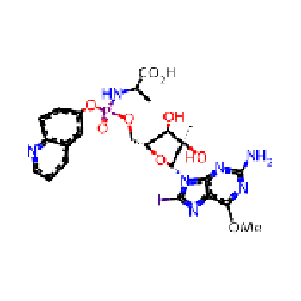 COc1nc(N)nc2c1nc(I)n2[C@@H]1O[C@H](COP(=O)(NC(C)C(=O)O)Oc2ccc3ncccc3c2)[C@@H](O)[C@@]1(C)O